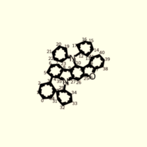 c1ccc(-c2cccc3c4c(N(c5ccccc5)c5ccccc5)c5c(cc4n(-c4ccccc4)c23)oc2ccccc25)cc1